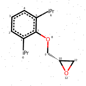 CC(C)c1cccc(C(C)C)c1OC[C@@H]1CO1